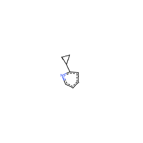 [c]1ccnc(C2CC2)c1